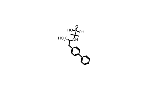 CC(C)(NC(Cc1ccc(-c2ccccc2)cc1)C(=O)O)P(=O)(O)O